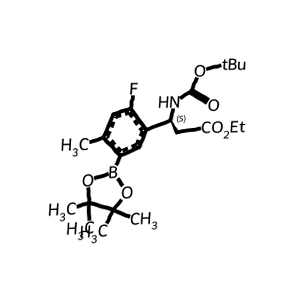 CCOC(=O)C[C@H](NC(=O)OC(C)(C)C)c1cc(B2OC(C)(C)C(C)(C)O2)c(C)cc1F